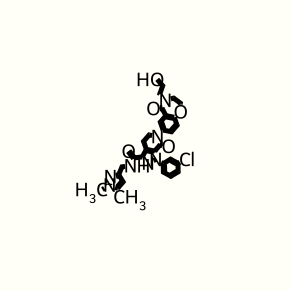 Cc1cc(CNC(=O)c2nn(-c3cccc(Cl)c3)c3c2CCN(c2ccc4c(c2)C(=O)N(CCO)CCO4)C3=O)nn1C